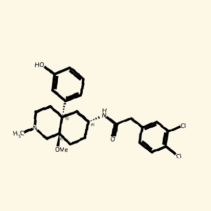 CO[C@]12CC[C@@H](NC(=O)Cc3ccc(Cl)c(Cl)c3)C[C@]1(c1cccc(O)c1)CCN(C)C2